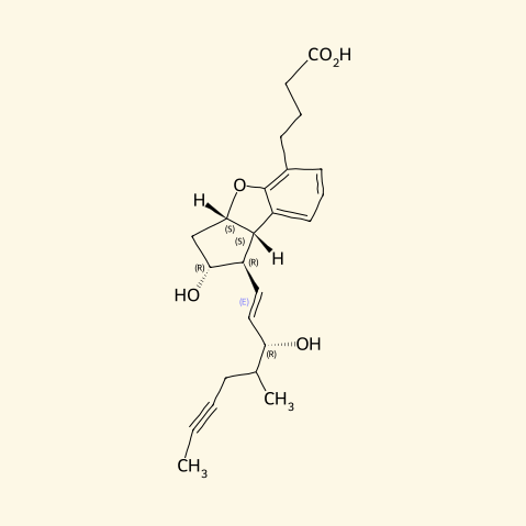 CC#CCC(C)[C@@H](O)/C=C/[C@@H]1[C@H]2c3cccc(CCCC(=O)O)c3O[C@H]2C[C@H]1O